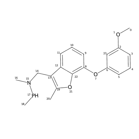 COc1cccc(Oc2cccc3c(CN(C)PC)c(C)oc23)c1